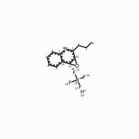 CCCc1nc2ccccc2c2c1O2.F[B-](F)(F)F.[H+]